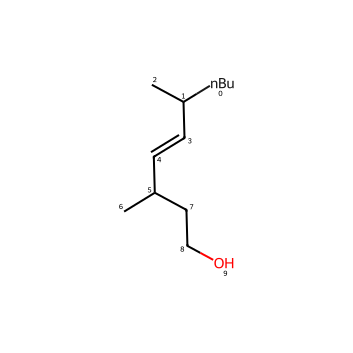 CCCCC(C)C=CC(C)CCO